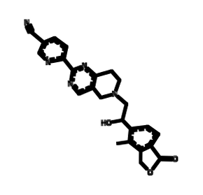 Cc1c(C(O)CN2CCc3nc(-c4ccc(C#N)cn4)ncc3C2)ccc2c1COC2=O